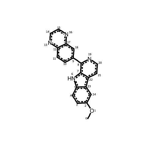 COc1ccc2[nH]c3c(-c4ccc5nccnc5c4)nccc3c2c1